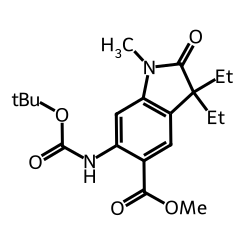 CCC1(CC)C(=O)N(C)c2cc(NC(=O)OC(C)(C)C)c(C(=O)OC)cc21